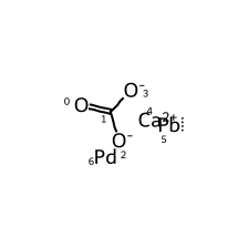 O=C([O-])[O-].[Ca+2].[Pb].[Pd]